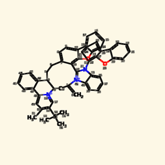 C=C1CC2C(CCc3ccc4c(oc5ccccc54)c3-c3n(-c4cccc5c4oc4ccccc45)c4ccccc4[n+]31)c1ccccc1-c1cc(C)c([Si](C)(C)C)c[n+]12